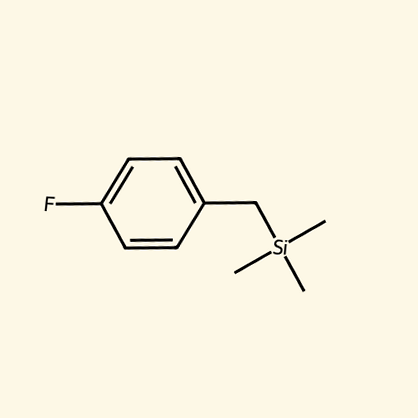 C[Si](C)(C)Cc1ccc(F)cc1